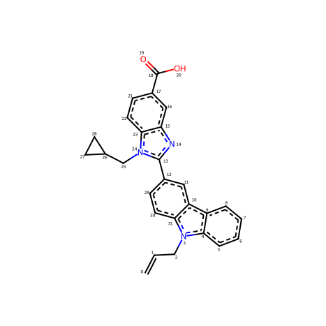 C=CCn1c2ccccc2c2cc(-c3nc4cc(C(=O)O)ccc4n3CC3CC3)ccc21